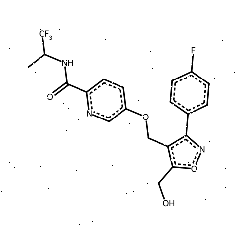 CC(NC(=O)c1ccc(OCc2c(-c3ccc(F)cc3)noc2CO)cn1)C(F)(F)F